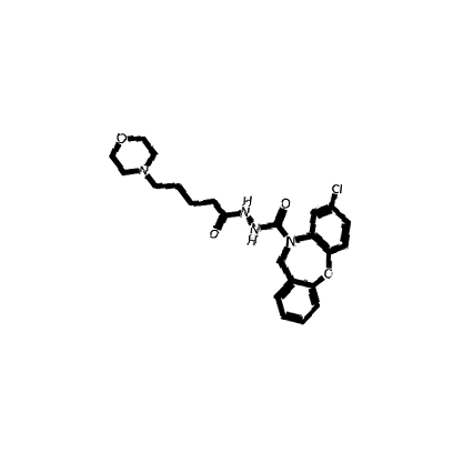 O=C(CCCCN1CCOCC1)NNC(=O)N1Cc2ccccc2Oc2ccc(Cl)cc21